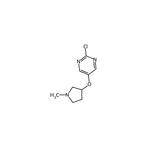 CN1CCC(Oc2cnc(Cl)nc2)C1